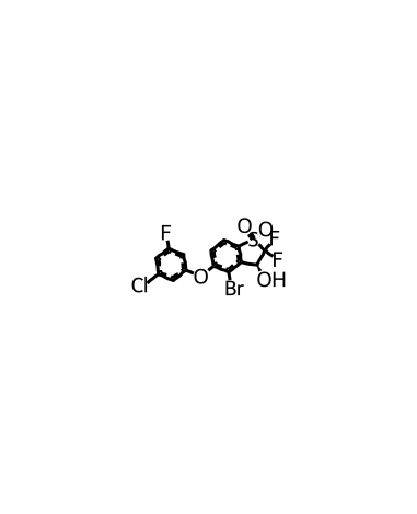 O=S1(=O)c2ccc(Oc3cc(F)cc(Cl)c3)c(Br)c2[C@H](O)C1(F)F